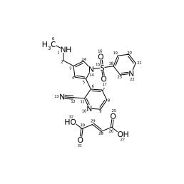 CNCc1cc(-c2cccnc2C#N)n(S(=O)(=O)c2cccnc2)c1.O=C(O)/C=C/C(=O)O